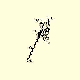 C=C(COC(=O)C[C@@](O)(C(=O)O)[C@H](/C=C/CCCCCCC(=O)CCCCCCC)C(=O)N[C@@H](Cc1ccc(OCC#CC)cc1)C(=O)OC)C(=O)OC